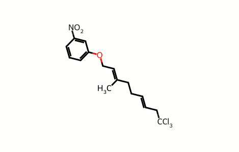 C/C(=C\COc1cccc([N+](=O)[O-])c1)CC/C=C/CC(Cl)(Cl)Cl